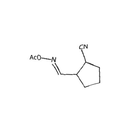 CC(=O)ON=CC1CCCC1C#N